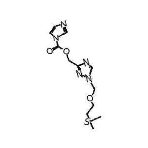 C[Si](C)(C)CCOCn1cnc(COC(=O)n2ccnc2)n1